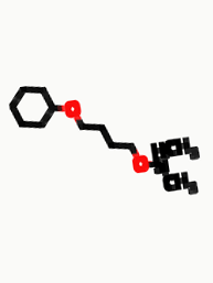 C[SiH](C)OCCCCOC1CCCCC1